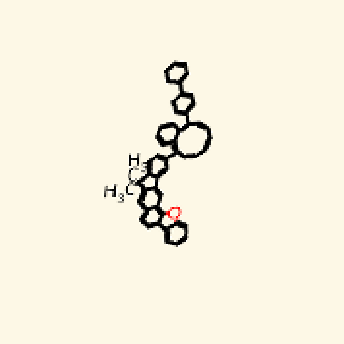 CC1(C)c2ccc(-c3ccccccc(C4=CC=C(C5=CC=CCC5)CC4)c4ccccc34)cc2-c2cc3c(ccc4c5ccccc5oc34)cc21